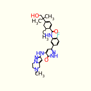 CC1CC(C(C)(C)CO)=CC=C1C(=O)Nc1cc(-c2cc(Nc3cc4n(n3)CCN(C)C4)c(=O)[nH]n2)ccc1F